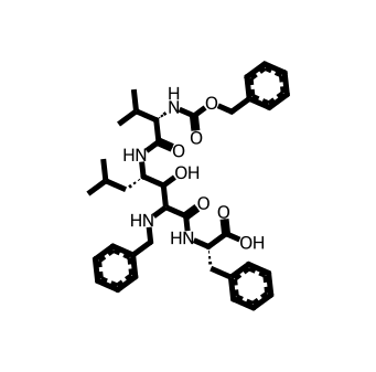 CC(C)C[C@H](NC(=O)[C@@H](NC(=O)OCc1ccccc1)C(C)C)C(O)C(NCc1ccccc1)C(=O)N[C@@H](Cc1ccccc1)C(=O)O